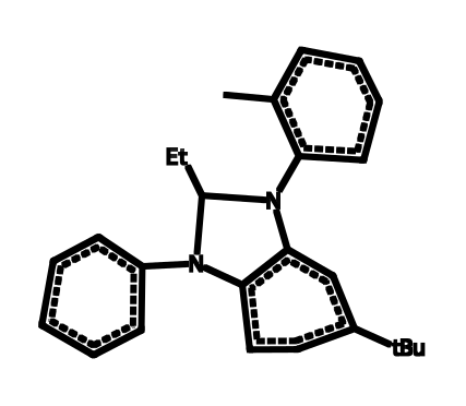 CCC1N(c2ccccc2)c2ccc(C(C)(C)C)cc2N1c1ccccc1C